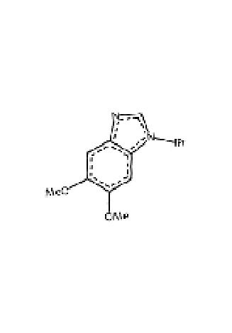 COc1cc2ncn(C(C)C)c2cc1OC